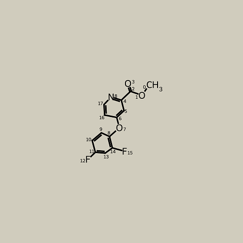 COC(=O)c1cc(Oc2ccc(F)cc2F)ccn1